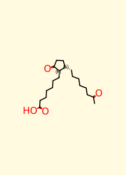 CC(=O)CCCCCC[C@H]1CCC(=O)[C@@H]1CCCCCCC(=O)O